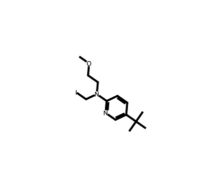 COCCN(CI)c1ccc(C(C)(C)C)cn1